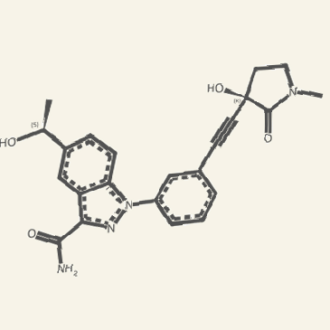 C[C@H](O)c1ccc2c(c1)c(C(N)=O)nn2-c1cccc(C#C[C@]2(O)CCN(C)C2=O)c1